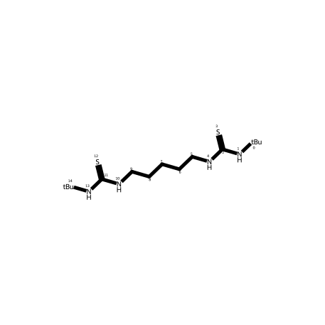 CC(C)(C)NC(=S)NCCCCCNC(=S)NC(C)(C)C